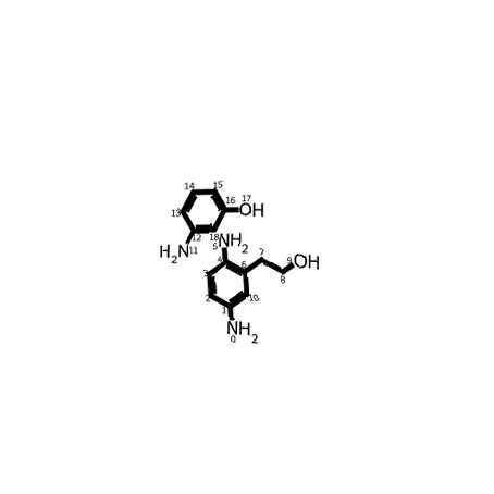 Nc1ccc(N)c(CCO)c1.Nc1cccc(O)c1